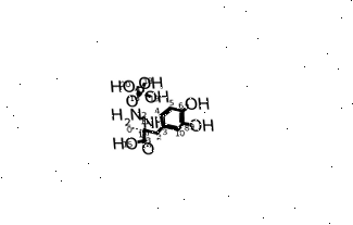 C[C@@](Cc1ccc(O)c(O)c1)(NN)C(=O)O.O=P(O)(O)O